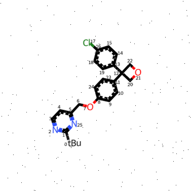 CC(C)(C)c1nccc(COc2ccc(C3(c4ccc(Cl)cc4)COC3)cc2)n1